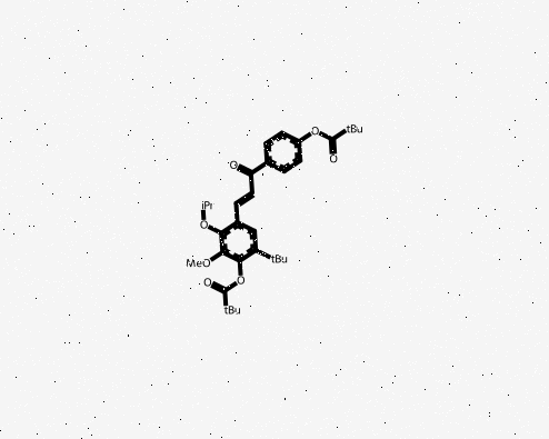 COc1c(OC(C)C)c(C=CC(=O)c2ccc(OC(=O)C(C)(C)C)cc2)cc(C(C)(C)C)c1OC(=O)C(C)(C)C